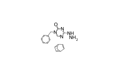 C1=CC2=CC=C1C2.NNc1ncn(Cc2ccccc2)c(=O)n1